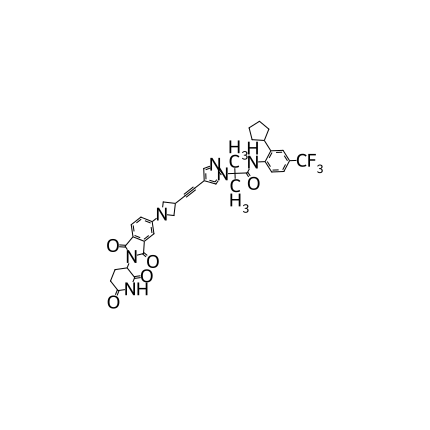 CC(C)(C(=O)Nc1ccc(C(F)(F)F)cc1C1CCCC1)n1cc(C#CC2CN(c3ccc4c(c3)C(=O)N(C3CCC(=O)NC3=O)C4=O)C2)cn1